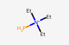 CC[N+](P)(CC)CC